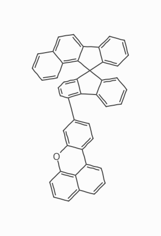 c1ccc2c(c1)-c1ccc3ccccc3c1C21c2ccccc2-c2c(-c3ccc4c(c3)Oc3cccc5cccc-4c35)cccc21